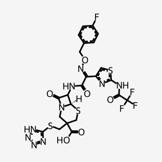 O=C(NC1C(=O)N2CC(CSc3nnn[nH]3)(C(=O)O)CS[C@H]12)C(=NOCc1ccc(F)cc1)c1csc(NC(=O)C(F)(F)F)n1